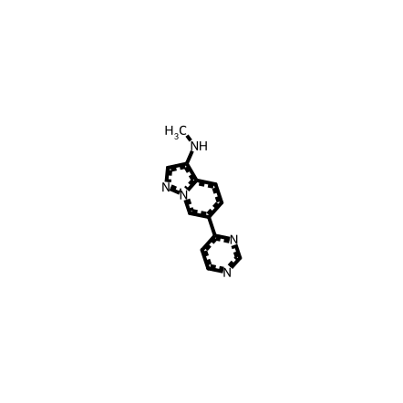 CNc1cnn2cc(-c3ccncn3)ccc12